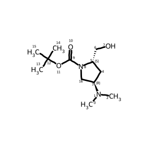 CN(C)[C@@H]1C[C@@H](CO)N(C(=O)OC(C)(C)C)C1